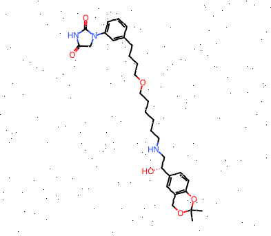 CC1(C)OCc2cc([C@H](O)CNCCCCCCOCCCCc3cccc(N4CC(=O)NC4=O)c3)ccc2O1